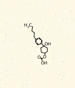 CCCCCc1ccc(C2(O)CCC(OC(=O)O)CC2)cc1